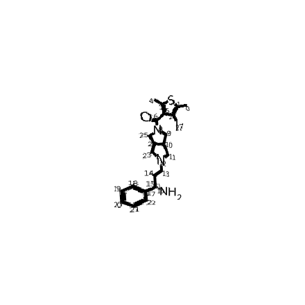 Cc1sc(C)c(C(=O)N2CC3CN(CC[C@H](N)c4ccccc4)CC3C2)c1I